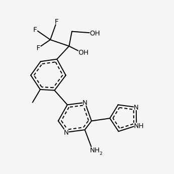 Cc1ccc(C(O)(CO)C(F)(F)F)cc1-c1cnc(N)c(-c2cn[nH]c2)n1